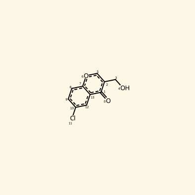 O=c1c(CO)coc2ccc(Cl)cc12